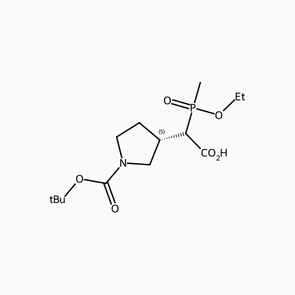 CCOP(C)(=O)C(C(=O)O)[C@H]1CCN(C(=O)OC(C)(C)C)C1